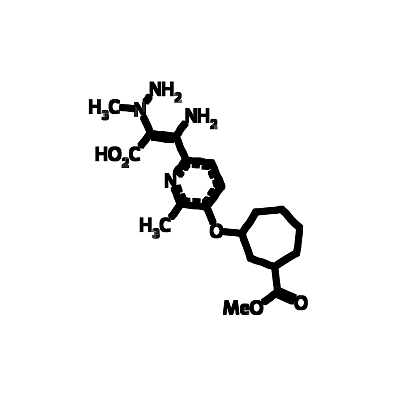 COC(=O)C1CCCCC(Oc2ccc(/C(N)=C(\C(=O)O)N(C)N)nc2C)C1